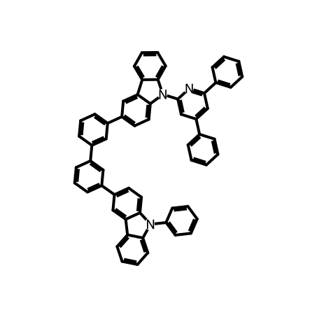 c1ccc(-c2cc(-c3ccccc3)nc(-n3c4ccccc4c4cc(-c5cccc(-c6cccc(-c7ccc8c(c7)c7ccccc7n8-c7ccccc7)c6)c5)ccc43)c2)cc1